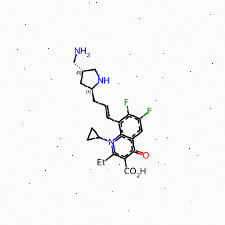 CCc1c(C(=O)O)c(=O)c2cc(F)c(F)c(C=CC[C@H]3C[C@H](CN)CN3)c2n1C1CC1